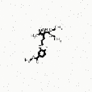 CCOC(OCC)c1[nH]nc(C)c1CCCOc1cc(C(=O)OC)ccc1F